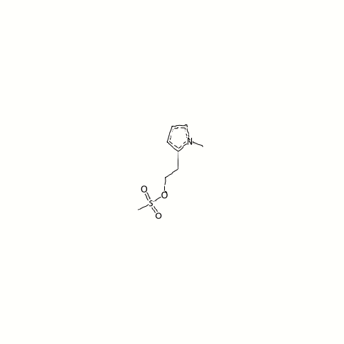 Cn1cccc1CCOS(C)(=O)=O